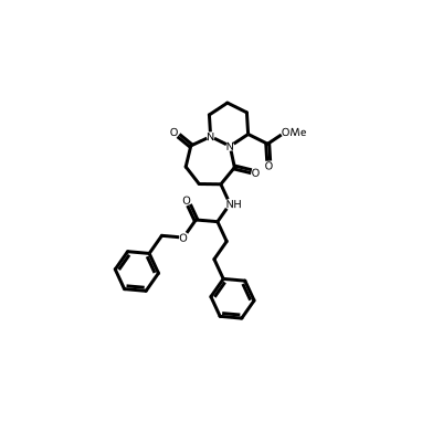 COC(=O)C1CCCN2C(=O)CCC(NC(CCc3ccccc3)C(=O)OCc3ccccc3)C(=O)N12